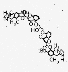 Cc1cc(C(C)(C)C)c(OC(=O)c2cc(=O)c3c(OCC(O)COc4cccc5oc(C(=O)Oc6c(C(C)(C)C)cc(C)c(CC7=NCCN7)c6C)cc(=O)c45)cccc3o2)c(C)c1CC1=NCCN1